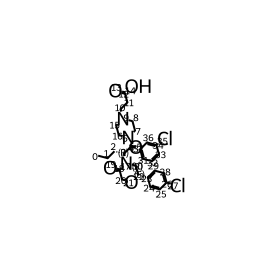 CCC[C@H](C(=O)N1CCN(CCC(=O)O)CC1)N1C(=O)CO[C@@H](c2ccc(Cl)cc2)[C@H]1c1ccc(Cl)cc1